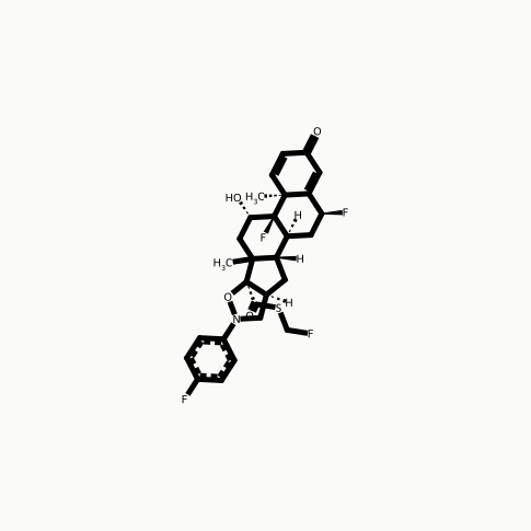 CC12C[C@H](O)[C@@]3(F)[C@@H](C[C@H](F)C4=CC(=O)C=C[C@@]43C)[C@@H]1C[C@H]1CN(c3ccc(F)cc3)O[C@]12C(=O)SCF